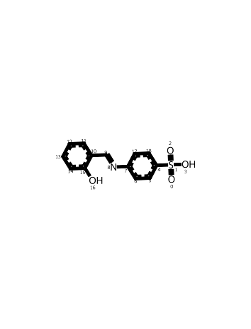 O=S(=O)(O)c1ccc(N=Cc2ccccc2O)cc1